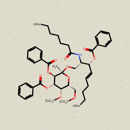 CCCCCCCCCCCCC/C=C/[C@@H](OC(=O)c1ccccc1)[C@H](CO[C@@]1(C)O[C@H](COC(=O)OCC)[C@H](OC(=O)OCC)[C@H](OC(=O)c2ccccc2)[C@H]1OC(=O)c1ccccc1)NC(=O)CCCCCCCCCCCCCCC